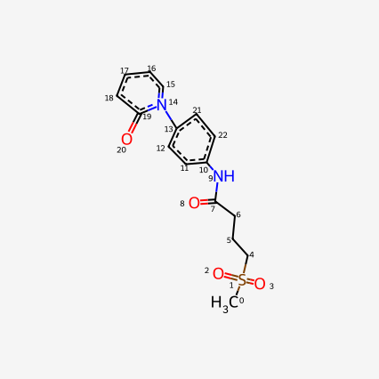 CS(=O)(=O)CCCC(=O)Nc1ccc(-n2ccccc2=O)cc1